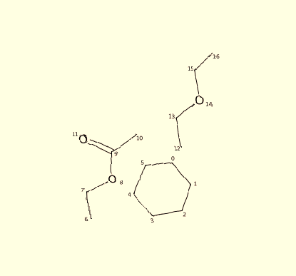 C1CCCCC1.CCOC(C)=O.CCOCC